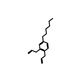 [CH2]CCCCCc1ccc(CC=C)c(CC=C)c1